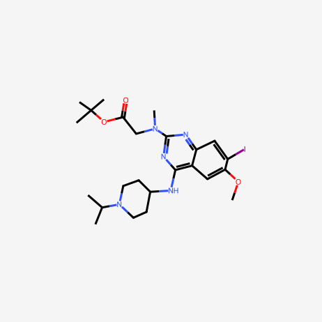 COc1cc2c(NC3CCN(C(C)C)CC3)nc(N(C)CC(=O)OC(C)(C)C)nc2cc1I